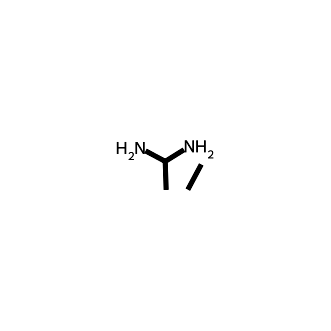 CC.CC(N)N